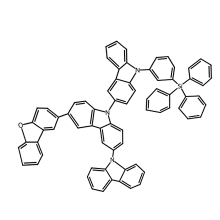 c1ccc([Si](c2ccccc2)(c2ccccc2)c2cccc(-n3c4ccccc4c4cc(-n5c6ccc(-c7ccc8oc9ccccc9c8c7)cc6c6cc(-n7c8ccccc8c8ccccc87)ccc65)ccc43)c2)cc1